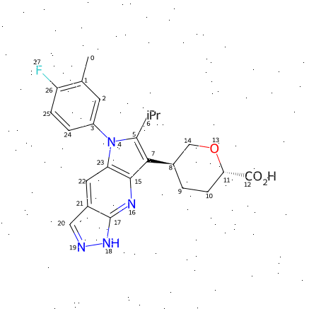 Cc1cc(-n2c(C(C)C)c([C@@H]3CC[C@@H](C(=O)O)OC3)c3nc4[nH]ncc4cc32)ccc1F